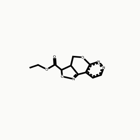 CCOC(=O)C1ON=C2c3ccnnc3OCC21